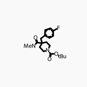 CNC(=O)C1(Cc2ccc(F)cc2)CCN(C(=O)OC(C)(C)C)CC1